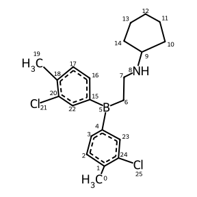 Cc1ccc(B(CCNC2CCCCC2)c2ccc(C)c(Cl)c2)cc1Cl